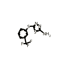 Nc1nnc(Sc2cccc(C(F)(F)F)c2)s1